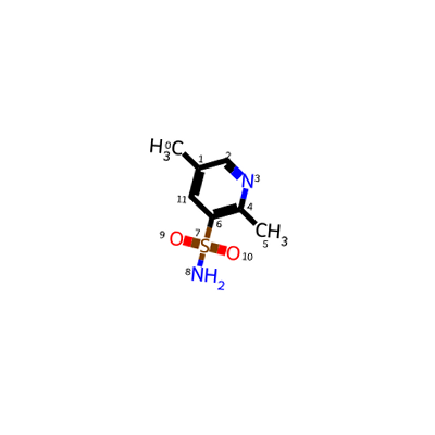 Cc1cnc(C)c(S(N)(=O)=O)c1